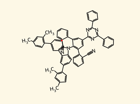 Cc1ccc(-c2ccc3c(c2)c2cc(-c4ccc(C)cc4C)ccc2n3-c2c(-c3ccccc3C#N)cc(-c3nc(-c4ccccc4)nc(-c4ccccc4)n3)cc2-c2ccccc2C#N)c(C)c1